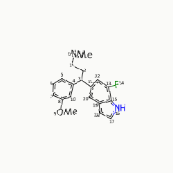 CNCCC(c1cccc(OC)c1)c1cc(F)c2[nH]ccc2c1